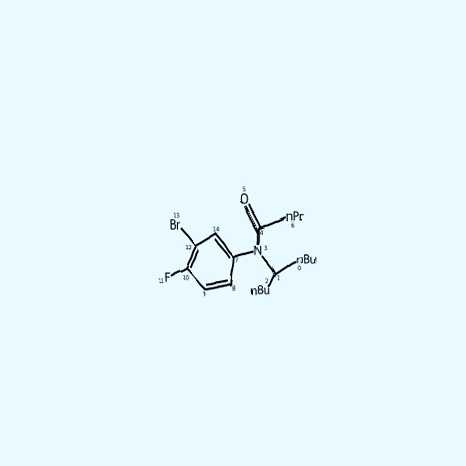 CCCCC(CCCC)N(C(=O)CCC)c1ccc(F)c(Br)c1